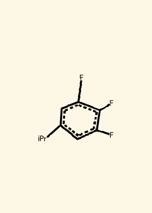 [CH2]C(C)c1cc(F)c(F)c(F)c1